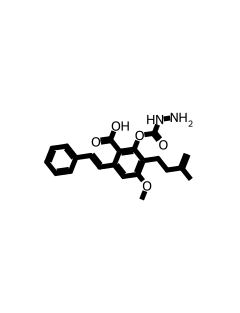 C=C(C)CCc1c(OC)cc(/C=C/c2ccccc2)c(C(=O)O)c1OC(=O)NN